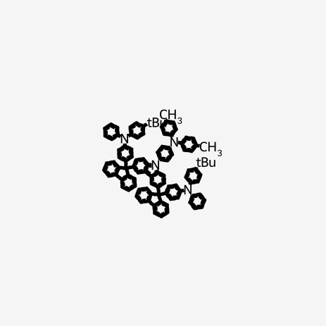 Cc1ccc(N(c2ccc(C)cc2)c2ccc(-n3c4ccc(C5(c6ccc(N(c7ccccc7)c7ccc(C(C)(C)C)cc7)cc6)c6ccccc6-c6ccccc65)cc4c4cc(C5(c6ccc(N(c7ccccc7)c7ccc(C(C)(C)C)cc7)cc6)c6ccccc6-c6ccccc65)ccc43)cc2)cc1